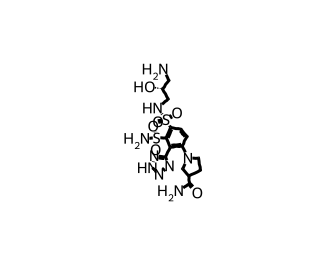 NC[C@@H](O)CNS(=O)(=O)c1ccc(N2CCC(C(N)=O)C2)c(-c2nn[nH]n2)c1S(N)(=O)=O